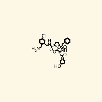 NCc1ccc(Cl)cc1CNC(=O)[C@@H]1CCCN1C(=O)[C@@H](CC(=O)N1CC[C@@H](O)C1)NS(=O)(=O)Cc1ccccc1